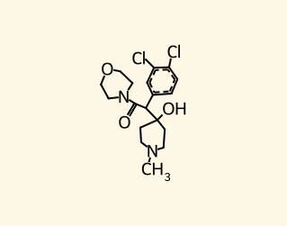 CN1CCC(O)(C(C(=O)N2CCOCC2)c2ccc(Cl)c(Cl)c2)CC1